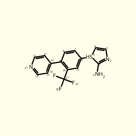 NC1=NC=C[SH]1c1ccc(-c2ccncc2)c(C(F)(F)F)c1